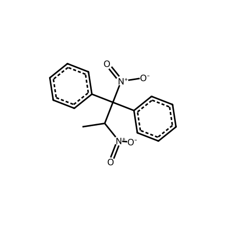 CC([N+](=O)[O-])C(c1ccccc1)(c1ccccc1)[N+](=O)[O-]